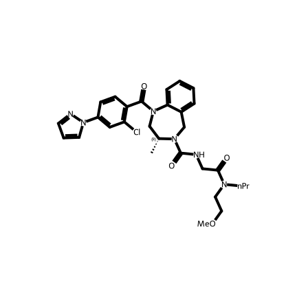 CCCN(CCOC)C(=O)CNC(=O)N1Cc2ccccc2N(C(=O)c2ccc(-n3cccn3)cc2Cl)C[C@H]1C